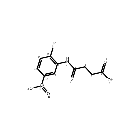 O=C(O)CCC(=S)Nc1cc([N+](=O)[O-])ccc1F